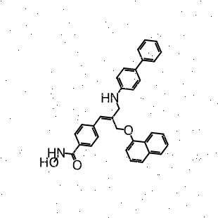 O=C(NO)c1ccc(/C=C(/CNc2ccc(-c3ccccc3)cc2)COc2cccc3ccccc23)cc1